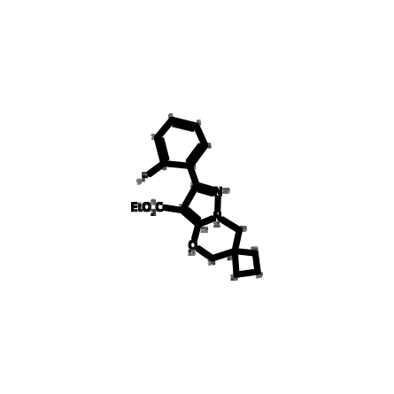 CCOC(=O)c1c(-c2ccccc2F)nn2c1OCC1(CCC1)C2